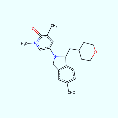 Cc1cc(N2Cc3cc(C=O)ccc3C2CC2CCOCC2)cn(C)c1=O